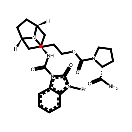 CC(C)n1c(=O)n(C(=O)N[C@@H]2C[C@H]3CC[C@@H](C2)N3CCCOC(=O)N2CCC[C@@H]2C(N)=O)c2ccccc21